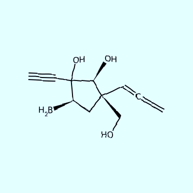 B[C@@H]1C[C@](C=C=C)(CO)[C@H](O)C1(O)C#C